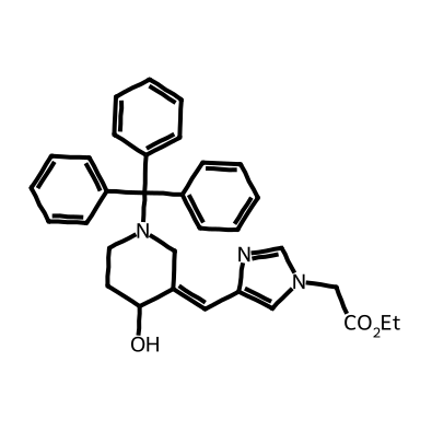 CCOC(=O)Cn1cnc(/C=C2\CN(C(c3ccccc3)(c3ccccc3)c3ccccc3)CCC2O)c1